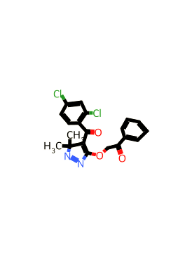 CC1(C)N=NC(OCC(=O)c2ccccc2)=C1C(=O)c1ccc(Cl)cc1Cl